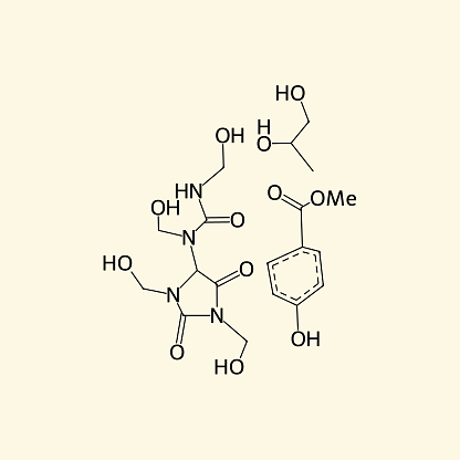 CC(O)CO.COC(=O)c1ccc(O)cc1.O=C1C(N(CO)C(=O)NCO)N(CO)C(=O)N1CO